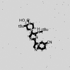 CC(C)(C)CNc1nc(-c2cnc3ccc(C#N)cn23)ncc1N1CCN(C(=O)O)C(C(C)(C)C)C1